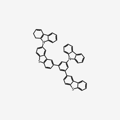 C1=Cc2c(n(-c3ccc4sc5ccc(-c6cc(-c7ccc8sc9ccccc9c8c7)cc(-n7c8ccccc8c8ccccc87)c6)cc5c4c3)c3ccccc23)CC1